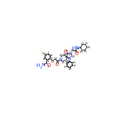 NC(=O)c1cc(F)ccc1C[CH]C(=O)N1CCC2(CC1)C(=O)N(CC(=O)NC1CCCCC1)CN2c1ccccc1